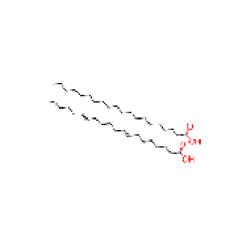 CCCCCC=CCC=CCC=CCC=CCCCC(=O)O.CCCCCCCCCCCCCCCCCCCC(=O)O